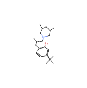 CC(Cc1ccc(C(C)(C)C)cc1Br)CN1CC(C)CC(C)C1